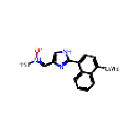 COc1ccc(-c2nc(/C=[N+](\[O-])C(C)(C)C)c[nH]2)c2ccccc12